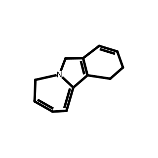 C1=CCN2CC3=C(CCC=C3)C2=C1